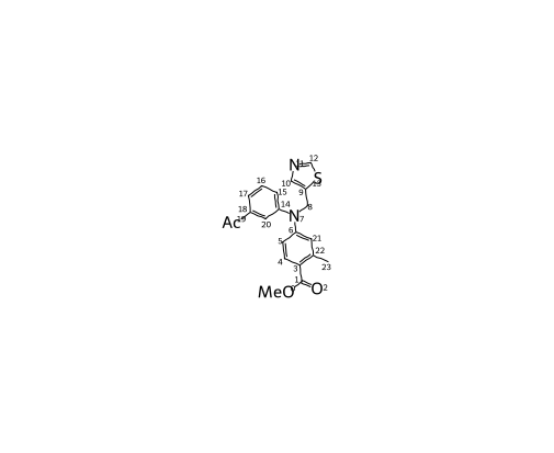 COC(=O)c1ccc(N(Cc2cncs2)c2cccc(C(C)=O)c2)cc1C